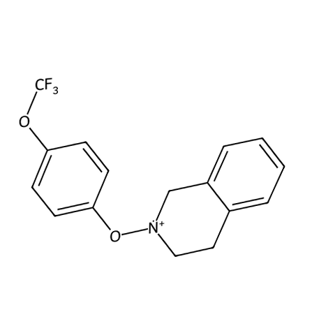 FC(F)(F)Oc1ccc(O[N+]2CCc3ccccc3C2)cc1